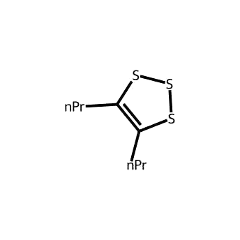 CCCC1=C(CCC)SSS1